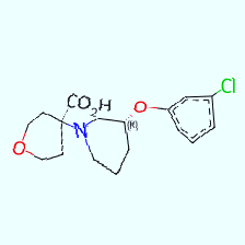 O=C(O)C1(N2CCC[C@@H](Oc3cccc(Cl)c3)C2)CCOCC1